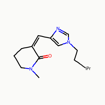 CC(C)CCn1cnc(C=C2CCCN(C)C2=O)c1